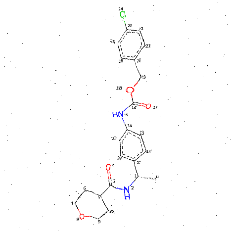 C[C@H](NC(=O)C1CCOCC1)c1ccc(NC(=O)OCc2ccc(Cl)cc2)cc1